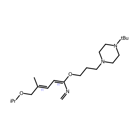 C=N/C(=C\C=C(/C)COC(C)C)OCCCN1CCN(C(C)(C)C)CC1